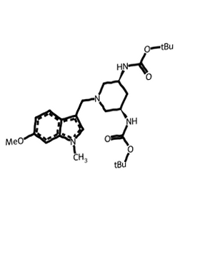 COc1ccc2c(CN3C[C@H](NC(=O)OC(C)(C)C)C[C@H](NC(=O)OC(C)(C)C)C3)cn(C)c2c1